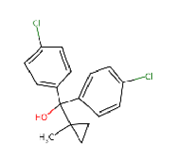 CC1(C(O)(c2ccc(Cl)cc2)c2ccc(Cl)cc2)CC1